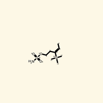 C/C=C(\CCOS(N)(=O)=O)[Si](C)(C)C